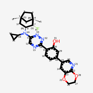 C[C@]12CC[C@](C)(C1)[C@H](F)[C@H](N(c1cnc(-c3ccc(-c4cnc5c(c4)OCCO5)cc3O)nn1)C1CC1)C2